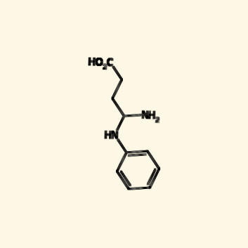 NC(CCC(=O)O)Nc1ccccc1